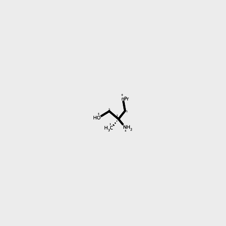 CCCC[C@@](C)(N)CO